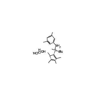 CC[CH](C)[Ti]([CH3])([SiH2]c1cc(C)cc(C)c1)[C]1=C(C)C(C)=C(C)C1C.Cl.Cl.Cl